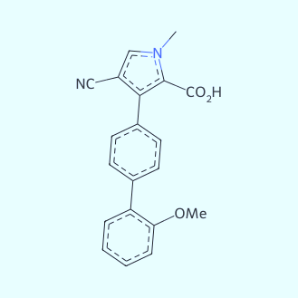 COc1ccccc1-c1ccc(-c2c(C#N)cn(C)c2C(=O)O)cc1